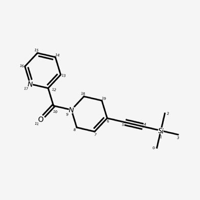 C[Si](C)(C)C#CC1=CCN(C(=O)c2ccccn2)CC1